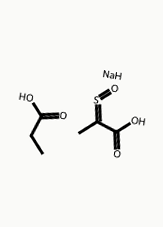 CC(=S=O)C(=O)O.CCC(=O)O.[NaH]